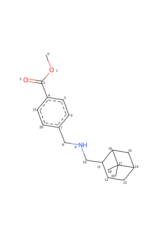 COC(=O)c1ccc(CNCC2CCC3CC2C3(C)C)cc1